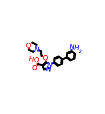 Nc1cccc(-c2ccc(-n3ncc(C(=O)O)c3OCCN3CCOCC3)cc2)c1